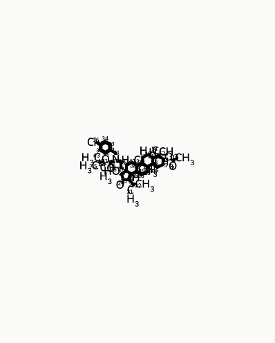 CC(=O)O[C@H]1CC[C@@]2(C)[C@H](CC[C@]3(C)[C@@H]2CC[C@@H]2C4=C(C(C)C)C(=O)C[C@]4(C(O)CN(Cc4ccc(Cl)cc4)C(=O)OC(C)(C)C)CC[C@]23C)C1(C)C